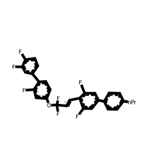 CCCc1ccc(-c2cc(F)c(/C=C/C(F)(F)Oc3ccc(-c4ccc(F)c(F)c4)c(F)c3)c(F)c2)cc1